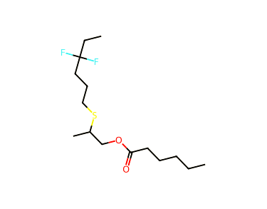 CCCCCC(=O)OCC(C)SCCCC(F)(F)CC